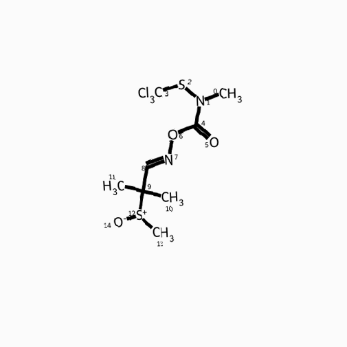 CN(SC(Cl)(Cl)Cl)C(=O)ON=CC(C)(C)[S+](C)[O-]